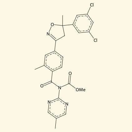 COC(=O)N(C(=O)c1ccc(C2=NOC(C)(c3cc(Cl)cc(Cl)c3)C2)cc1C)c1ncc(C)cn1